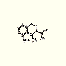 CCCN(CCC)C1CCc2cccc(NC(C)=O)c2C1C